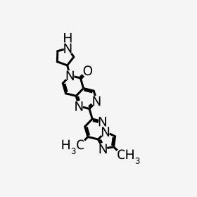 Cc1cn2nc(-c3ncc4c(=O)n(C5CCNC5)ccc4n3)cc(C)c2n1